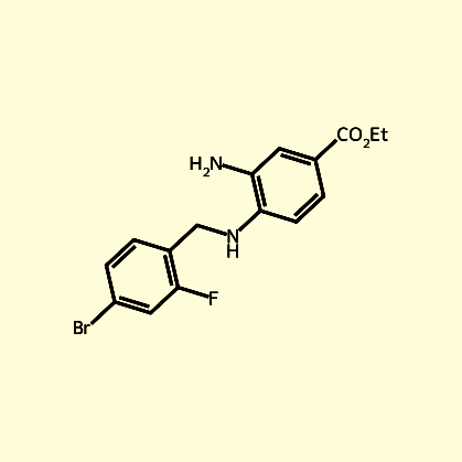 CCOC(=O)c1ccc(NCc2ccc(Br)cc2F)c(N)c1